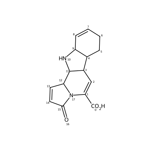 O=C(O)C1=CC2C3CCC=CC3NC2C2C=CC(=O)N12